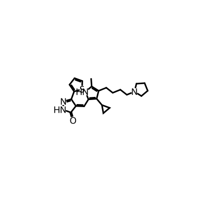 Cc1[nH]c(/C=C2/C(=O)NN=C2c2cccs2)c(C2CC2)c1CCCCN1CCCC1